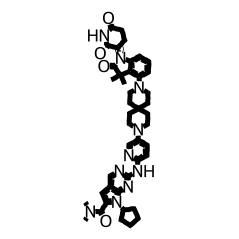 CN(C)C(=O)c1cc2cnc(Nc3ccc(N4CCC5(CC4)CCN(c4cccc6c4C(C)(C)C(=O)N6[C@@H]4CCC(=O)NC4=O)CC5)cn3)nc2n1C1CCCC1